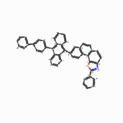 c1ccc(-c2ccc(-c3c4ccccc4c(-c4ccc5c(ccc6ccc7nc(-c8ccccc8)oc7c65)c4)c4ccccc34)cc2)cc1